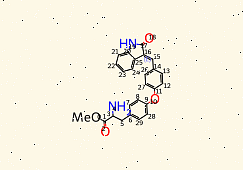 COC(=O)C(N)Cc1ccc(Oc2ccc(/C=C3/C(=O)Nc4ccccc43)cc2)cc1